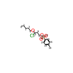 CCCCCOC(Cl)CCOS(=O)(=O)c1ccc(C)cc1